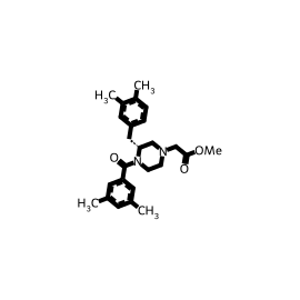 COC(=O)CN1CCN(C(=O)c2cc(C)cc(C)c2)[C@H](Cc2ccc(C)c(C)c2)C1